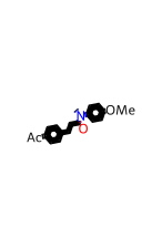 COc1ccc(N(C)C(=O)CCc2ccc(C(C)=O)cc2)cc1